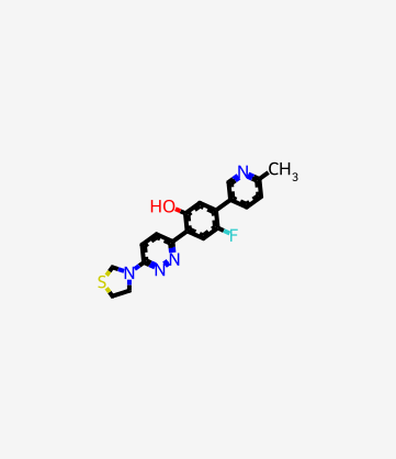 Cc1ccc(-c2cc(O)c(-c3ccc(N4CCSC4)nn3)cc2F)cn1